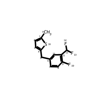 Cc1ccc([CH]c2ccc(F)c(C(F)F)c2)s1